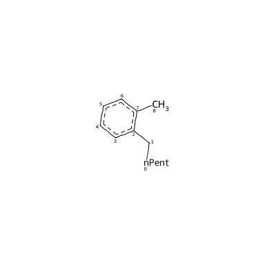 C[CH]CCCCc1ccccc1C